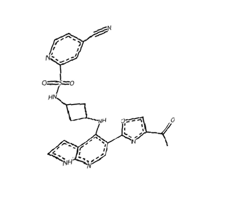 CC(=O)c1coc(-c2cnc3[nH]ccc3c2NC2CC(NS(=O)(=O)c3cc(C#N)ccn3)C2)n1